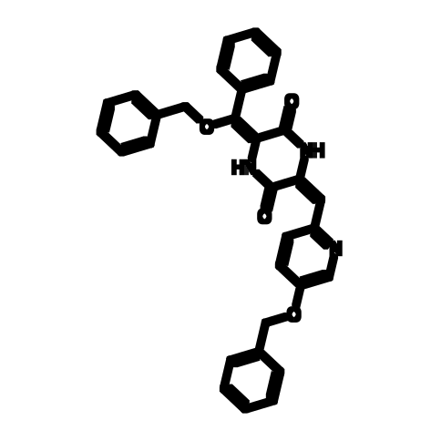 O=c1[nH]c(=C(OCc2ccccc2)c2ccccc2)c(=O)[nH]c1=Cc1ccc(OCc2ccccc2)cn1